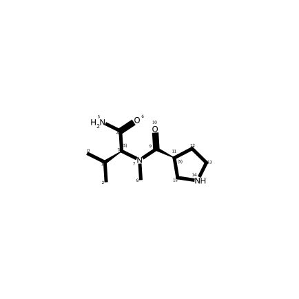 CC(C)[C@@H](C(N)=O)N(C)C(=O)[C@H]1CCNC1